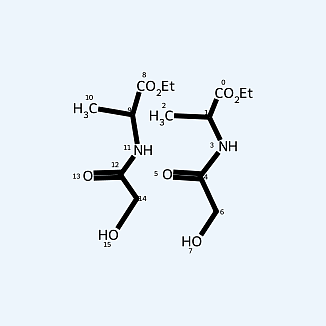 CCOC(=O)C(C)NC(=O)CO.CCOC(=O)C(C)NC(=O)CO